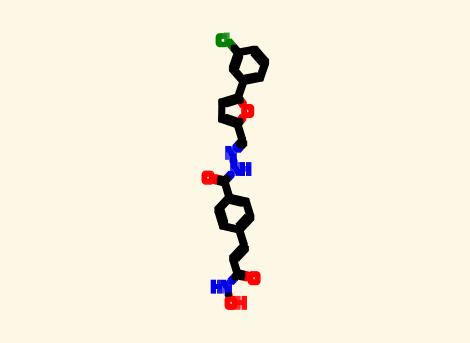 O=C(/C=C/c1ccc(C(=O)N/N=C/c2ccc(-c3cccc(Cl)c3)o2)cc1)NO